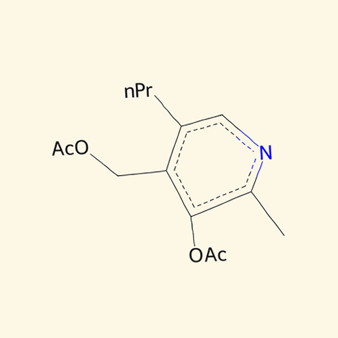 CCCc1cnc(C)c(OC(C)=O)c1COC(C)=O